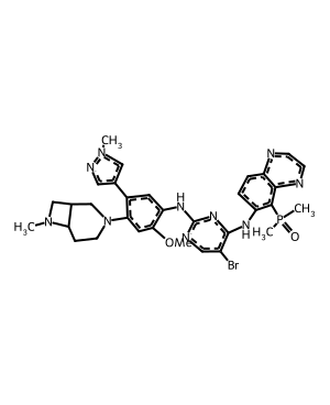 COc1cc(N2CCC3C(C2)CN3C)c(-c2cnn(C)c2)cc1Nc1ncc(Br)c(Nc2ccc3nccnc3c2P(C)(C)=O)n1